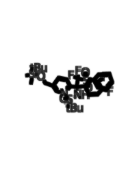 CC(C)(C)[S@@+]([O-])N[C@@](c1ccc(F)c(F)c1)(c1ccc(CO[Si](C)(C)C(C)(C)C)cn1)C(F)(F)S(=O)(=O)c1ccccc1